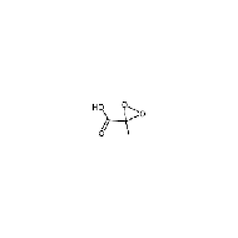 CC1(C(=O)O)OO1